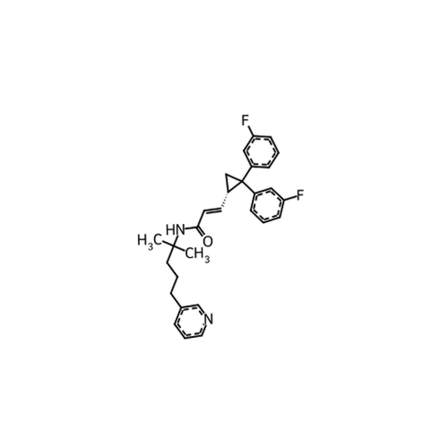 CC(C)(CCCc1cccnc1)NC(=O)/C=C/[C@@H]1CC1(c1cccc(F)c1)c1cccc(F)c1